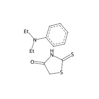 CCN(CC)c1ccccc1.O=C1CSC(=S)N1